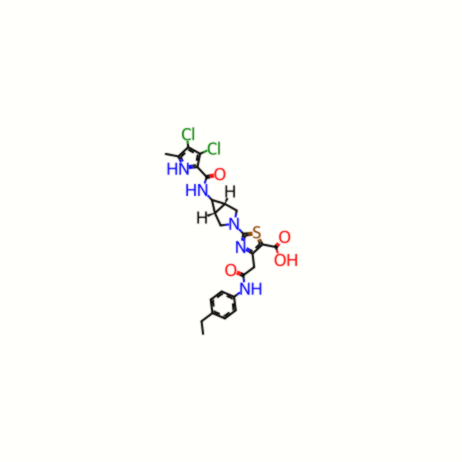 CCc1ccc(NC(=O)Cc2nc(N3C[C@@H]4C(NC(=O)c5[nH]c(C)c(Cl)c5Cl)[C@@H]4C3)sc2C(=O)O)cc1